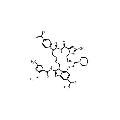 CCc1nc(C)oc1C(=O)Nc1nc2cc(C(N)=O)cc(OCCN3CCOCC3)c2n1C/C=C/Cn1c(NC(=O)c2cc(C)nn2CC)nc2cc(C(=O)O)ccc21